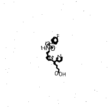 Cn1c(CCNS(=O)(=O)c2ccc(F)cc2)ccc1/C(=C/CCCC(=O)O)c1cccnc1